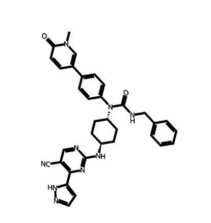 Cn1cc(-c2ccc(N(C(=O)NCc3ccccc3)[C@H]3CC[C@H](Nc4ncc(C#N)c(-c5ccn[nH]5)n4)CC3)cc2)ccc1=O